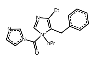 CCC[N+]1(C(=O)n2ccnc2)C=NC(CC)=C1Cc1ccccc1